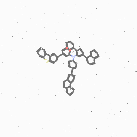 c1ccc(-c2ccc(-c3cccc4ccccc34)cc2N(c2ccc(-c3ccc4c(ccc5ccccc54)c3)cc2)c2cccc(-c3ccc4sc5ccccc5c4c3)c2)cc1